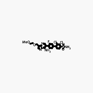 COCCOCc1cnn2c(N)c(-c3ccc(-c4ccc(S(N)(=O)=O)c(Cl)c4Cl)cc3F)cnc12